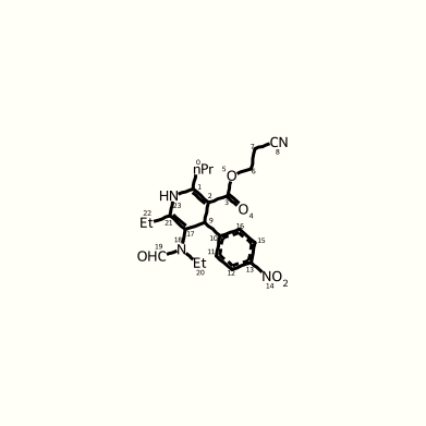 CCCC1=C(C(=O)OCCC#N)C(c2ccc([N+](=O)[O-])cc2)C(N(C=O)CC)=C(CC)N1